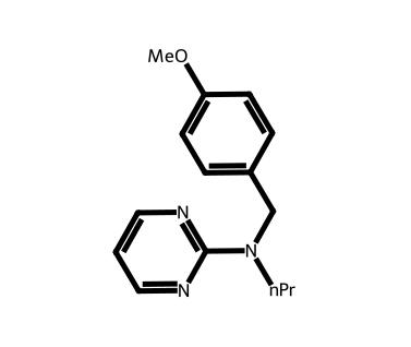 CCCN(Cc1ccc(OC)cc1)c1ncccn1